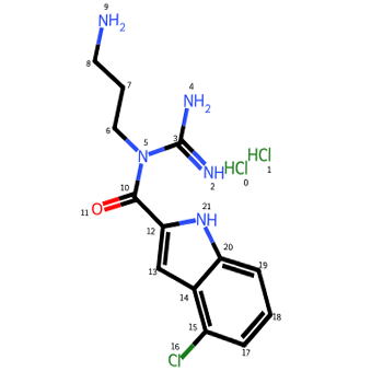 Cl.Cl.N=C(N)N(CCCN)C(=O)c1cc2c(Cl)cccc2[nH]1